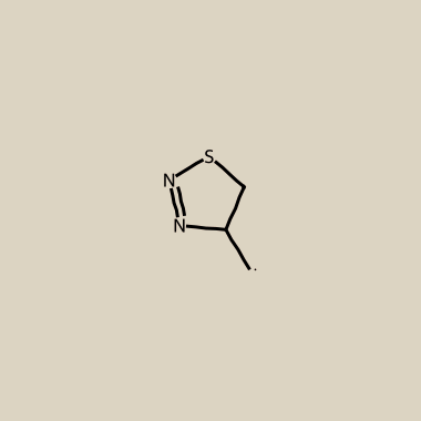 [CH2]C1CSN=N1